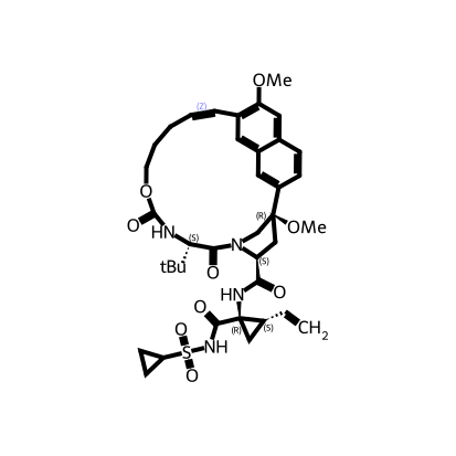 C=C[C@@H]1C[C@]1(NC(=O)[C@@H]1C[C@]2(OC)CN1C(=O)[C@H](C(C)(C)C)NC(=O)OCCC/C=C\c1cc3cc2ccc3cc1OC)C(=O)NS(=O)(=O)C1CC1